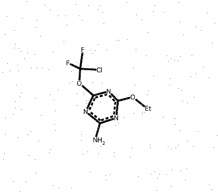 CCOc1nc(N)nc(OC(F)(F)Cl)n1